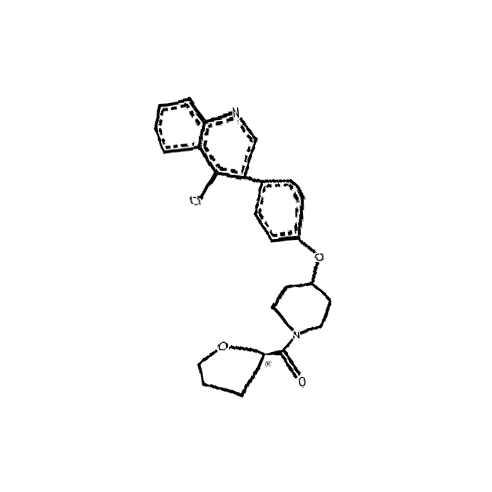 O=C([C@H]1CCCO1)N1CCC(Oc2ccc(-c3cnc4ccccc4c3Cl)cc2)CC1